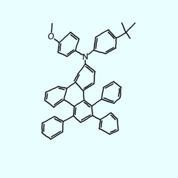 COc1ccc(N(c2ccc(C(C)(C)C)cc2)c2ccc3c(c2)c2ccccc2c2c(-c4ccccc4)cc(-c4ccccc4)c(-c4ccccc4)c32)cc1